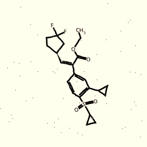 CCOC(=O)/C(=C\[C@H]1CCC(F)(F)C1)c1ccc(S(=O)(=O)C2CC2)c(C2CC2)c1